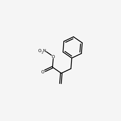 C=C(Cc1ccccc1)C(=O)O[N+](=O)[O-]